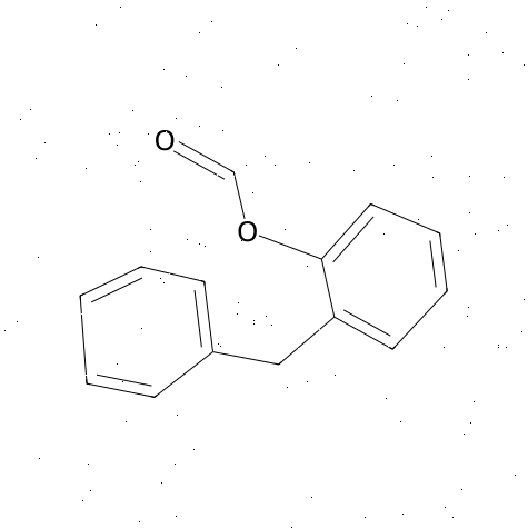 O=COc1ccccc1Cc1ccccc1